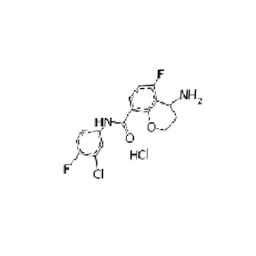 Cl.NC1CCOc2c(C(=O)Nc3ccc(F)c(Cl)c3)ccc(F)c21